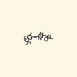 CCOC(=O)Cc1cnc(C#Cc2cc3c(cc2C)SCCC3(CC)CC)cn1